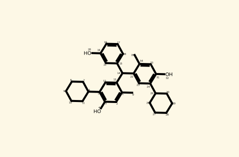 Cc1cc(O)c(C2CCCCC2)cc1C(c1cccc(O)c1)c1cc(C2CCCCC2)c(O)cc1C